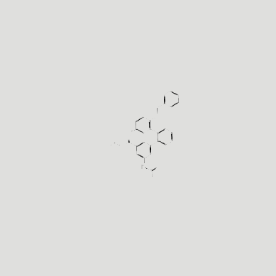 CCOC(=O)c1cc(NC(C)=O)cc(-c2ccccc2-c2cc(Cl)ccc2OCc2ccccc2)c1